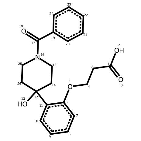 O=C(O)CCOc1ccccc1C1(O)CCN(C(=O)c2ccccc2)CC1